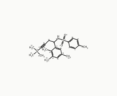 Cc1ccc(S(=O)(=O)NC(CC#C[Si](C)(C)C)c2cc(C)cc(C)c2C)cc1